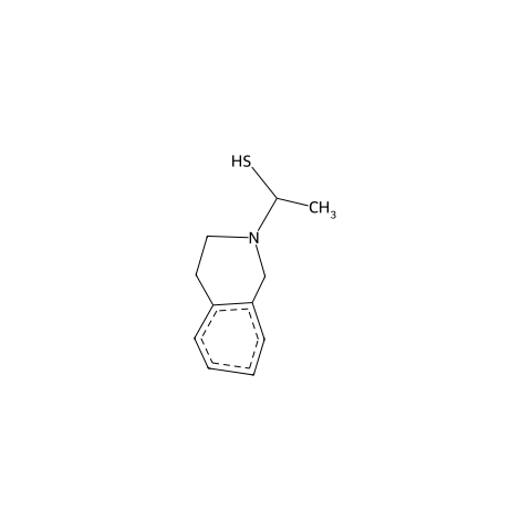 CC(S)N1CCc2ccccc2C1